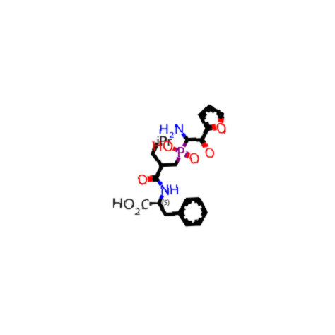 CC(C)CC(CP(=O)(O)C(N)C(=O)c1ccco1)C(=O)N[C@@H](Cc1ccccc1)C(=O)O